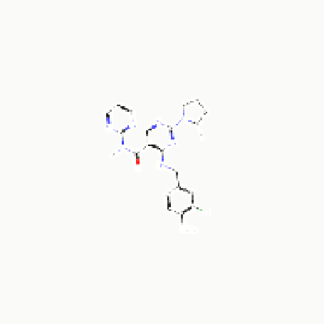 [CH2][C@H]1CCCN1c1ncc(C(=O)N(C)c2ncccn2)c(NCc2ccc(OC)c(Cl)c2)n1